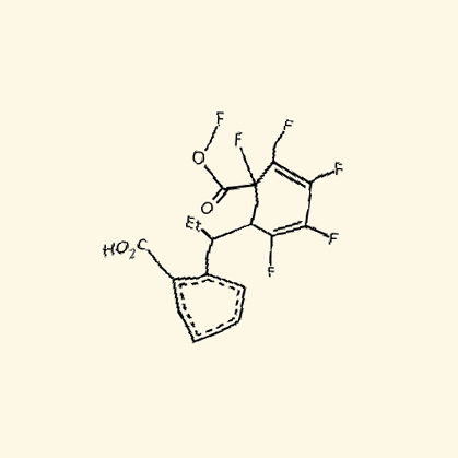 CCC(c1ccccc1C(=O)O)C1C(F)=C(F)C(F)=C(F)C1(F)C(=O)OF